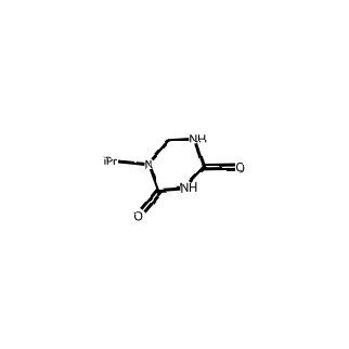 CC(C)N1CNC(=O)NC1=O